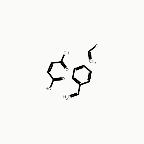 C=CCl.C=Cc1ccccc1.O=C(O)/C=C\C(=O)O